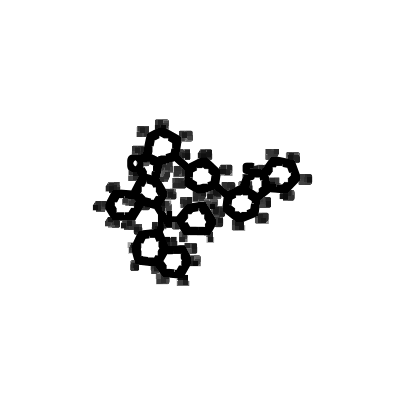 c1ccc(N(c2cccc3ccccc23)c2cc3c(oc4cccc(-c5ccc(-c6cccc7c6sc6ccccc67)cc5)c43)c3ccccc23)cc1